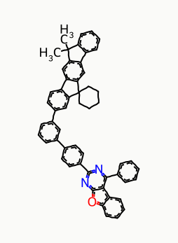 CC1(C)c2ccccc2-c2cc3c(cc21)-c1ccc(-c2cccc(-c4ccc(-c5nc(-c6ccccc6)c6c(n5)oc5ccccc56)cc4)c2)cc1C31CCCCC1